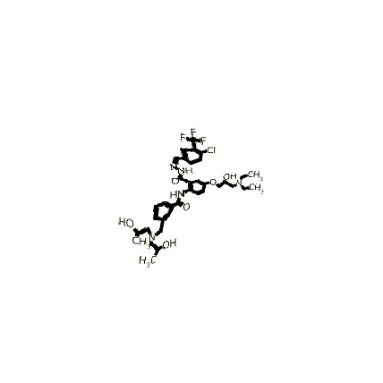 CCN(CC)CC(O)COc1ccc(NC(=O)c2cccc(CN(CC(C)O)CC(C)O)c2)c(C(=O)N/N=C\c2ccc(Cl)c(C(F)(F)F)c2)c1